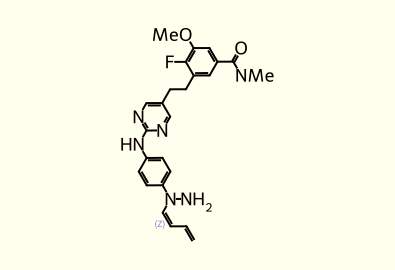 C=C/C=C\N(N)c1ccc(Nc2ncc(CCc3cc(C(=O)NC)cc(OC)c3F)cn2)cc1